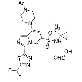 CC(=O)N1CCN(c2cc(S(=O)(=O)NC3(C)CC3)cn3c(-c4nnc(C(F)F)s4)ncc23)CC1.O=CO